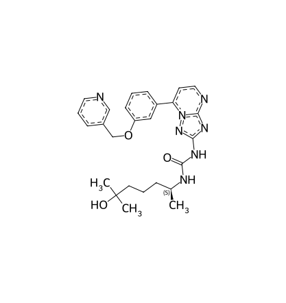 C[C@@H](CCCC(C)(C)O)NC(=O)Nc1nc2nccc(-c3cccc(OCc4cccnc4)c3)n2n1